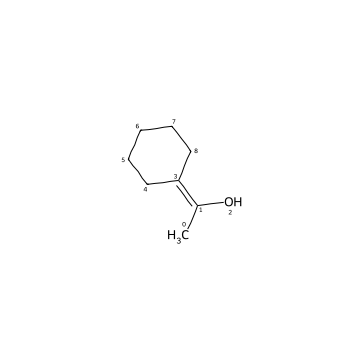 CC(O)=C1CCCCC1